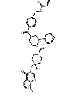 C=CC(=O)NCc1ccc(C(=O)N2CC[C@@H](C(=O)N3CCC(O)(Cn4cnc5c(ccn5C)c4=O)CC3)[C@H](c3ccccc3)C2)cc1